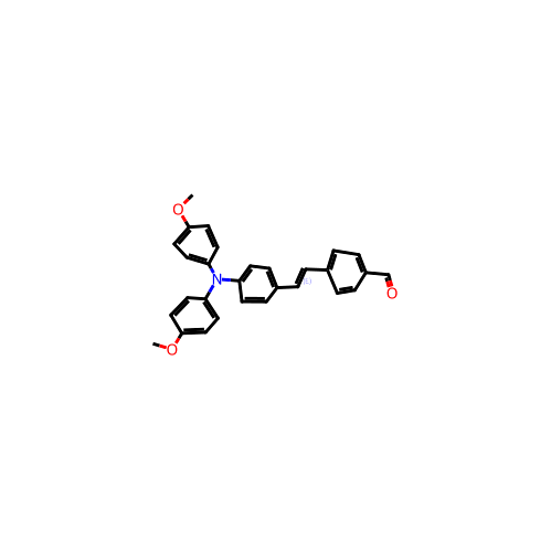 COc1ccc(N(c2ccc(/C=C/c3ccc(C=O)cc3)cc2)c2ccc(OC)cc2)cc1